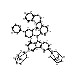 c1ccc(-c2cc3c4c(c2)-n2c5c(cccc5c5ccc6ccccc6c52)B4n2c4ccc(C56CC7CC(CC(C7)C5)C6)cc4c4cc(C56CC7CC(CC(C7)C5)C6)cc-3c42)cc1